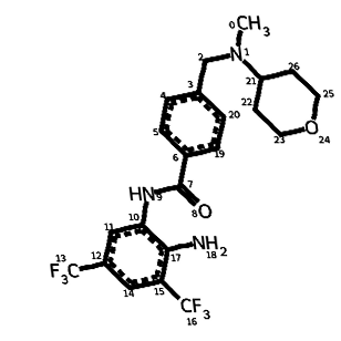 CN(Cc1ccc(C(=O)Nc2cc(C(F)(F)F)cc(C(F)(F)F)c2N)cc1)C1CCOCC1